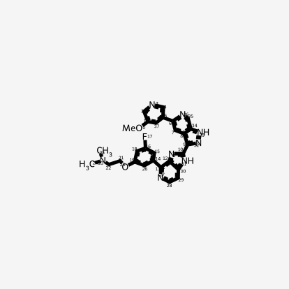 COc1cncc(-c2cc3c(-c4nc5c(-c6cc(F)cc(OCCN(C)C)c6)nccc5[nH]4)n[nH]c3cn2)c1